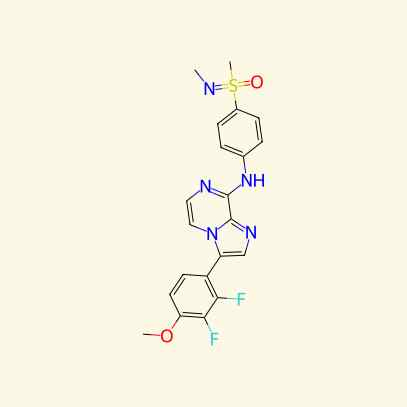 CN=S(C)(=O)c1ccc(Nc2nccn3c(-c4ccc(OC)c(F)c4F)cnc23)cc1